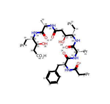 CC(C)CC(=O)N[C@@H](Cc1ccccc1)C(=O)N[C@H](C(=O)N[C@@H](CC(C)C)[C@@H](O)CC(=O)N[C@@H](C)C(=O)N[C@@H](CC(C)C)[C@@H](O)CC(=O)O)C(C)C